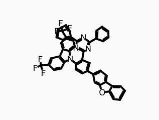 FC(F)(F)c1ccc2c(c1)c1cc(C(F)(F)F)ccc1n2-c1ccc(-c2ccc3c(c2)oc2ccccc23)cc1-c1nc(-c2ccccc2)nc(-c2ccccc2)n1